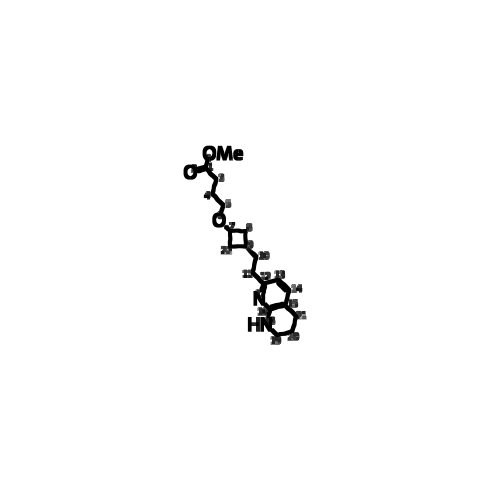 COC(=O)CCCO[C@H]1C[C@@H](CCc2ccc3c(n2)NCCC3)C1